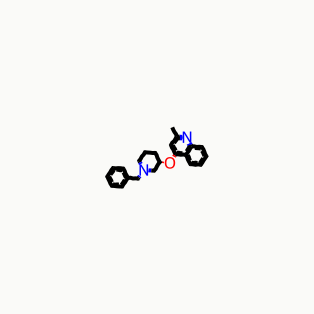 Cc1cc(O[C@H]2CCCN(Cc3ccccc3)C2)c2ccccc2n1